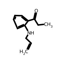 C=CCNc1ccccc1C(=O)CC